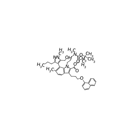 CCCc1nn(C)c(CO)c1-c1c(C)ccc2c(CCCOc3cccc4ccccc34)c(C(=O)OCC)n(CCCN(C)C(=O)OC(C)(C)C)c12